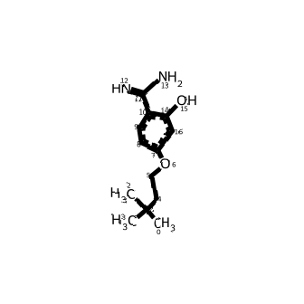 CC(C)(C)CCOc1ccc(C(=N)N)c(O)c1